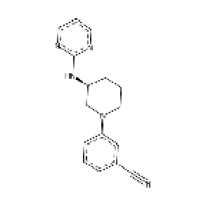 N#Cc1cccc(N2CCC[C@H](Nc3ncccn3)C2)c1